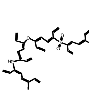 C=C/C(C)=C\C=C(/C=C)P/C(C=C)=C/C=C(\C=C)O/C(C=C)=C/C=C(\C=C)S(=O)(=O)/C(C=C)=C/C=C(\C=C)OC